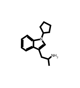 CC(N)Cc1cn(C2CCCC2)c2ccccc12